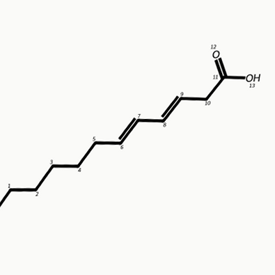 CCCCCCC=CC=CCC(=O)O